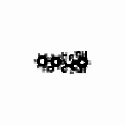 O=C(Nc1ccc(C2CCCCC2)c(O)c1)c1c[nH]c2cccc(O)c2c1=O